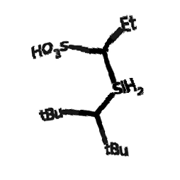 CC[C]([SiH2]C(C(C)(C)C)C(C)(C)C)S(=O)(=O)O